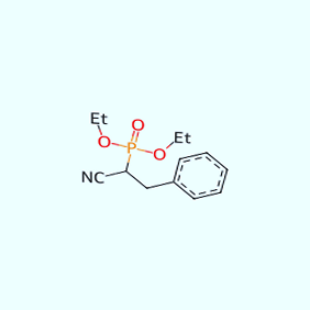 CCOP(=O)(OCC)C(C#N)Cc1ccccc1